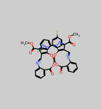 COC(=O)c1nn(-c2cccc(F)c2)c2c1/C=N/c1ccccc1C(=O)OC1(OC(=O)c3ccccc3/N=C/c3c(C(=O)OC)nn(-c4cccc(F)c4)c3O1)O2